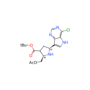 CC(=O)OC[C@@H]1N[C@H](c2c[nH]c3c(Cl)ncnc23)[CH][C]1C(=O)OC(C)(C)C